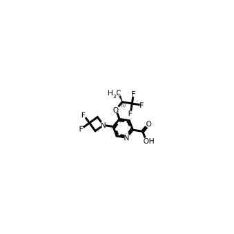 C[C@H](Oc1cc(C(=O)O)ncc1N1CC(F)(F)C1)C(F)(F)F